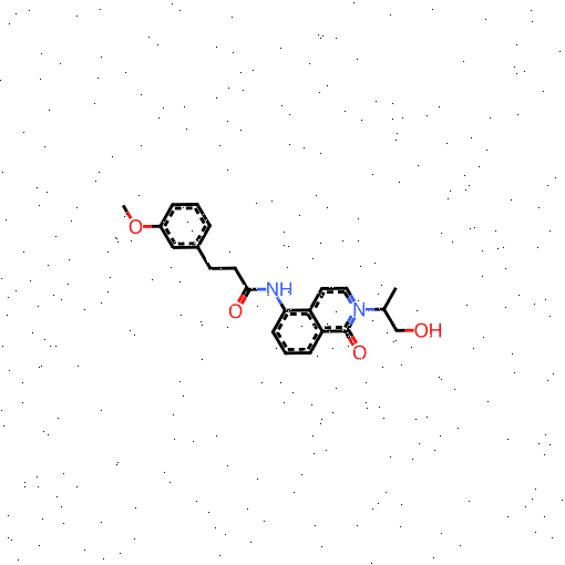 COc1cccc(CCC(=O)Nc2cccc3c(=O)n(C(C)CO)ccc23)c1